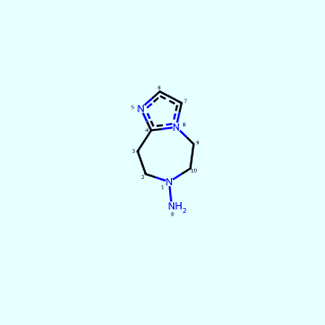 NN1CCc2nccn2CC1